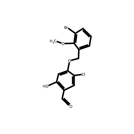 COc1c(Br)cccc1COc1cc(O)c(C=O)cc1Cl